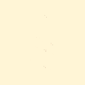 O=c1c(Cl)c(/C=C/c2cccnc2)nc2scc(-c3ccccc3[N+](=O)[O-])n12